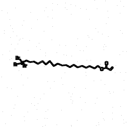 C=CC(=O)OCCCCCCCCCCCCCCCCCCC[Si](Br)(Br)Br